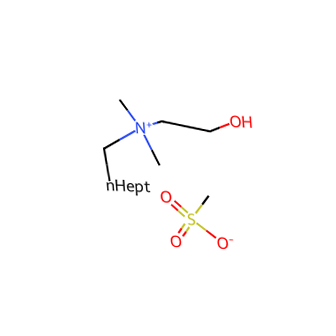 CCCCCCCC[N+](C)(C)CCO.CS(=O)(=O)[O-]